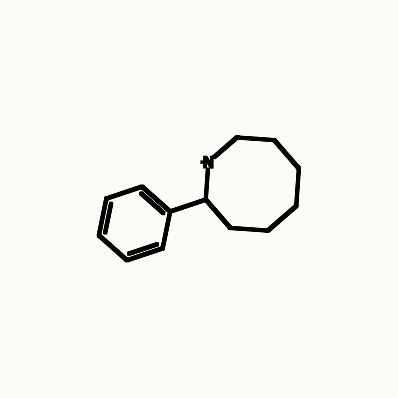 c1ccc(C2CCCCCC[N]2)cc1